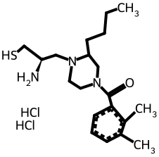 CCCCC1CN(C(=O)c2cccc(C)c2C)CCN1C[C@@H](N)CS.Cl.Cl